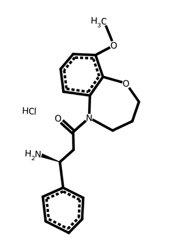 COc1cccc2c1OCCCN2C(=O)C[C@H](N)c1ccccc1.Cl